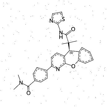 CN(C)C(=O)c1ccc(-c2ccc3c(n2)Oc2ccccc2[C@@H]3C(C)(C)C(=O)Nc2nccs2)cc1